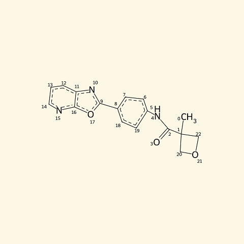 CC1(C(=O)Nc2ccc(-c3nc4cccnc4o3)cc2)COC1